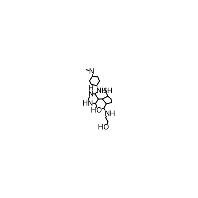 CC1NCNC(N[C@H]2CC[C@H](N(C)C)CC2)C1C1C(S)CCC1C(O)NCCO